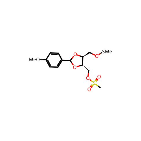 COc1ccc(C2O[C@@H](COSC)[C@H](COS(C)(=O)=O)O2)cc1